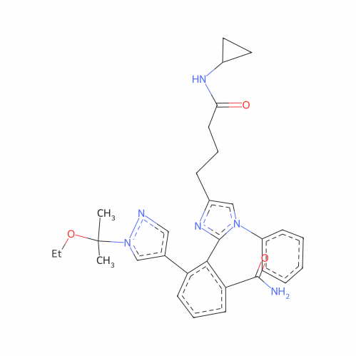 CCOC(C)(C)n1cc(-c2cccc(C(N)=O)c2-c2nc(CCCC(=O)NC3CC3)cn2-c2ccccc2)cn1